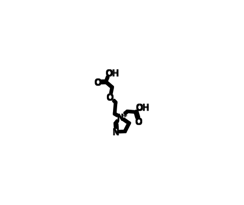 O=C(O)COCC[N+]1(CC(=O)O)C=NCC1